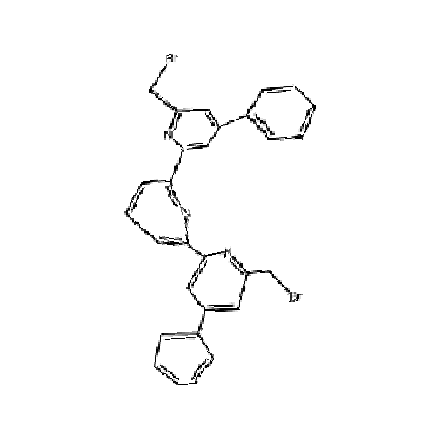 BrCc1cc(-c2ccccc2)cc(-c2cccc(-c3cc(-c4ccccc4)cc(CBr)n3)n2)n1